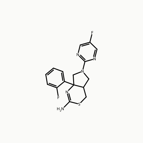 NC1=NC2(c3ccccc3F)CN(c3ncc(F)cn3)CC2CS1